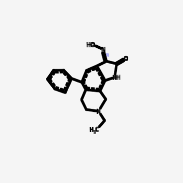 CCN1CCc2c(-c3ccccc3)cc3c(c2C1)NC(=O)/C3=N/O